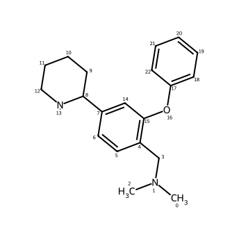 CN(C)Cc1ccc(C2CCCC[N]2)cc1Oc1ccccc1